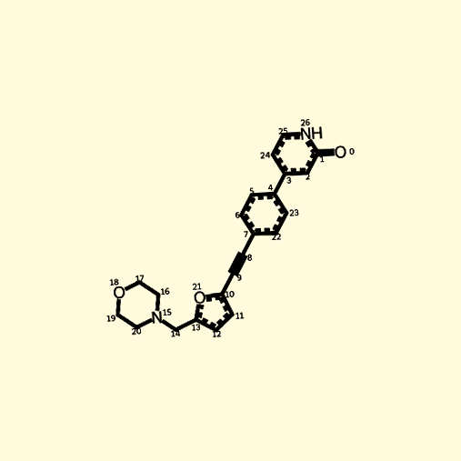 O=c1cc(-c2ccc(C#Cc3ccc(CN4CCOCC4)o3)cc2)cc[nH]1